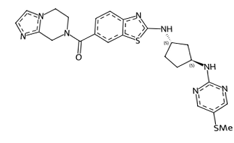 CSc1cnc(N[C@H]2CC[C@H](Nc3nc4ccc(C(=O)N5CCn6ccnc6C5)cc4s3)C2)nc1